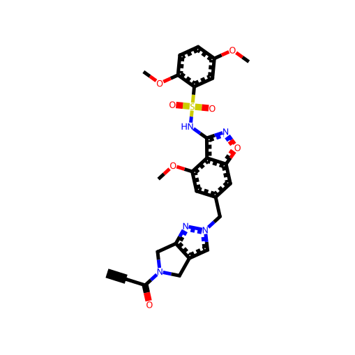 C#CC(=O)N1Cc2cn(Cc3cc(OC)c4c(NS(=O)(=O)c5cc(OC)ccc5OC)noc4c3)nc2C1